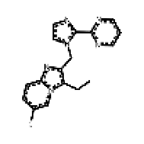 CCc1c(Cn2ccnc2-c2ncccn2)nc2ccc(Cl)cn12